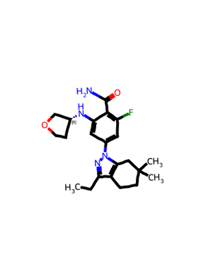 CCc1nn(-c2cc(F)c(C(N)=O)c(N[C@@H]3CCOC3)c2)c2c1CCC(C)(C)C2